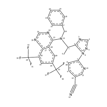 CC(c1ncnn1-c1ccc(C#N)cn1)N(Cc1ccccc1)c1ncnc2c(C(F)(F)F)cc(C(F)(F)F)cc12